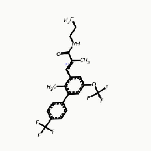 CCCNC(=O)/C(C)=C/c1cc(OC(F)(F)F)cc(-c2ccc(C(F)(F)F)cc2)c1C